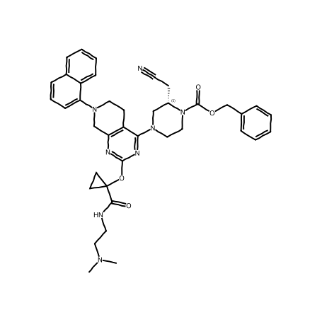 CN(C)CCNC(=O)C1(Oc2nc3c(c(N4CCN(C(=O)OCc5ccccc5)[C@@H](CC#N)C4)n2)CCN(c2cccc4ccccc24)C3)CC1